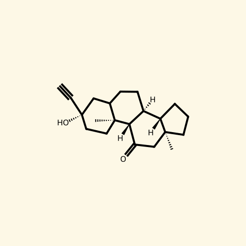 C#C[C@]1(O)CC[C@@]2(C)C(CC[C@H]3[C@@H]4CCC[C@@]4(C)CC(=O)[C@@H]32)C1